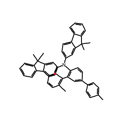 Cc1ccc(-c2ccc(N(c3ccc4c(c3)C(C)(C)c3ccccc3-4)c3ccc4c(c3)C(C)(C)c3ccccc3-4)c(-c3c(C)cccc3C)c2)cc1